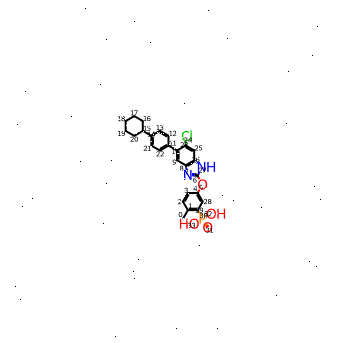 Cc1ccc(Oc2nc3cc(-c4ccc(C5CCCCC5)cc4)c(Cl)cc3[nH]2)cc1P(=O)(O)O